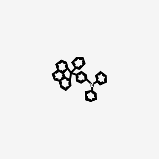 c1ccc(N(c2ccccc2)c2ccc(C3(c4ccccc4)c4cccc5ccc6cccc3c6c45)cc2)cc1